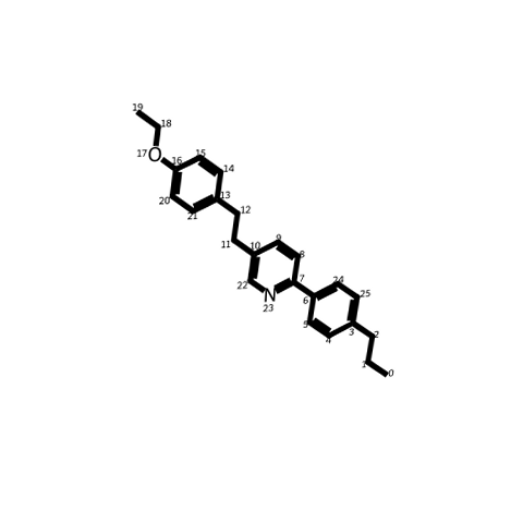 CCCc1ccc(-c2ccc(CCc3ccc(OCC)cc3)cn2)cc1